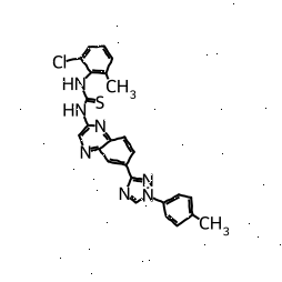 Cc1ccc(-n2cnc(-c3ccc4nc(NC(=S)Nc5c(C)cccc5Cl)cnc4c3)n2)cc1